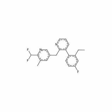 CCc1cc(F)ccc1-c1cccnc1Cc1cnc(C(F)F)c(C)c1